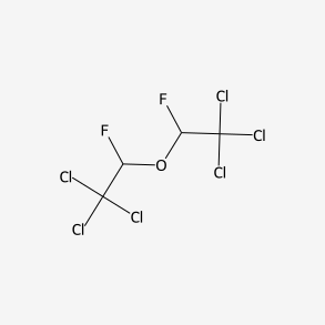 FC(OC(F)C(Cl)(Cl)Cl)C(Cl)(Cl)Cl